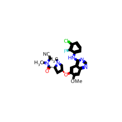 COc1cc2ncnc(Nc3cccc(Cl)c3F)c2cc1O[C@H]1C[C@H](C(=O)N(C)CC#N)N(C)C1